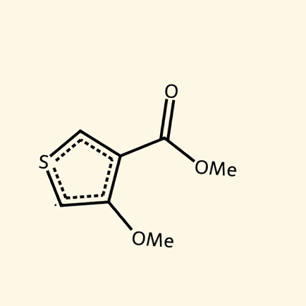 COC(=O)c1cs[c]c1OC